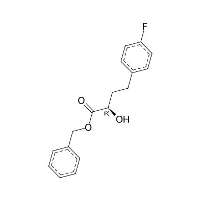 O=C(OCc1ccccc1)[C@H](O)CCc1ccc(F)cc1